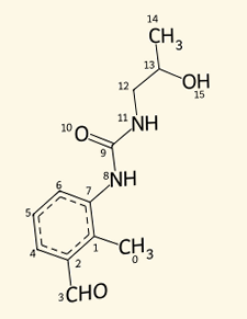 Cc1c(C=O)cccc1NC(=O)NCC(C)O